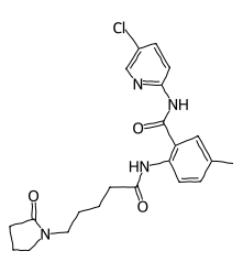 Cc1ccc(NC(=O)CCCCN2CCCC2=O)c(C(=O)Nc2ccc(Cl)cn2)c1